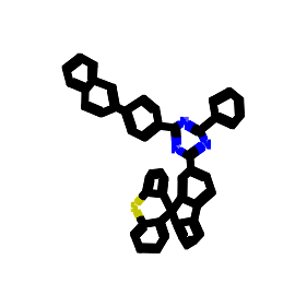 c1ccc(-c2nc(-c3ccc(-c4ccc5ccccc5c4)cc3)nc(-c3ccc4c(c3)C3(c5ccccc5Sc5ccccc53)c3ccccc3-4)n2)cc1